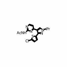 CC(=O)Nc1nccc(-c2cn(C(C)C)nc2-c2ccc(Cl)s2)n1